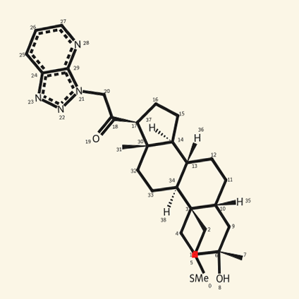 CSCC[C@]12CC[C@@](C)(O)C[C@H]1CC[C@H]1[C@@H]3CC[C@H](C(=O)Cn4nnc5cccnc54)[C@@]3(C)CC[C@@H]12